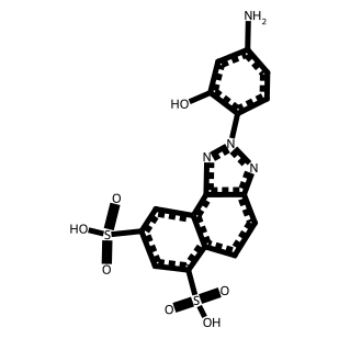 Nc1ccc(-n2nc3ccc4c(S(=O)(=O)O)cc(S(=O)(=O)O)cc4c3n2)c(O)c1